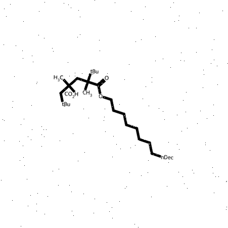 CCCCCCCCCCCCCCCCCCOC(=O)C(C)(CC(C)(CC(C)(C)C)C(=O)O)C(C)(C)C